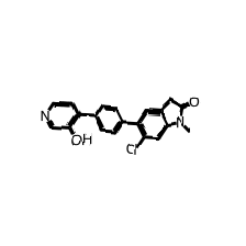 CN1C(=O)Cc2cc(-c3ccc(-c4ccncc4O)cc3)c(Cl)cc21